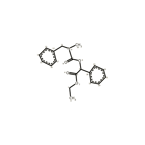 CCOC(=O)C(OC(=O)N(C)Cc1ccccc1)c1ccccc1